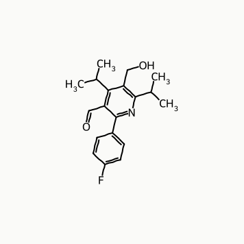 CC(C)c1nc(-c2ccc(F)cc2)c(C=O)c(C(C)C)c1CO